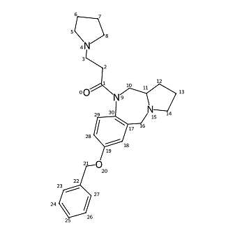 O=C(CCN1CCCC1)N1CC2CCCN2Cc2cc(OCc3ccccc3)ccc21